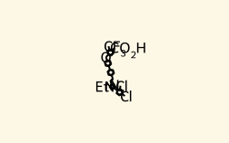 CCn1cc(-c2ccc(Cl)cc2Cl)nc1C=Cc1ccc(-c2ccc(Oc3ccc(C(=O)O)c(C(F)(F)F)c3)cc2)cc1